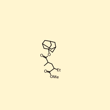 CCC(CC(C)C(=O)OC12CC3CC(CC(C3)C1)C2)C(=O)OC